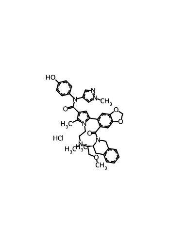 COCCN(C)CCn1c(-c2cc3c(cc2C(=O)N2Cc4ccccc4C[C@H]2C)OCO3)cc(C(=O)N(c2ccc(O)cc2)c2cnn(C)c2)c1C.Cl